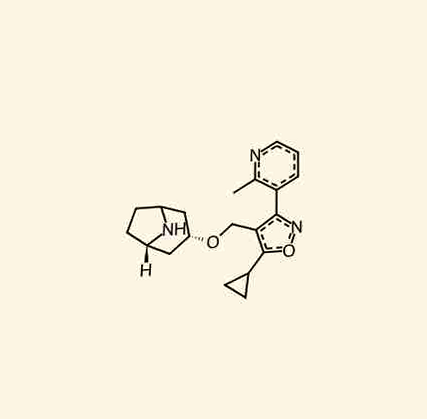 Cc1ncccc1-c1noc(C2CC2)c1CO[C@H]1CC2CC[C@@H](C1)N2